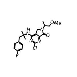 COCC(C)N1Cc2c(NC(C)(C)Cc3ccc(F)cc3)nc(Cl)nc2C1=O